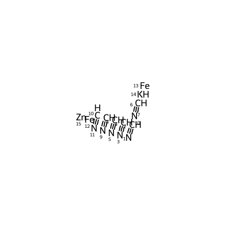 C#N.C#N.C#N.C#N.C#N.C#N.[Fe].[Fe].[KH].[Zn]